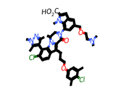 Cc1cc(OCCCc2c3n(c4c(-c5c(C)nn(C)c5C)c(Cl)ccc24)C(C)CN(c2cc(COCCN(C)C)cc4cc(C(=O)O)n(C)c24)C3=O)cc(C)c1Cl